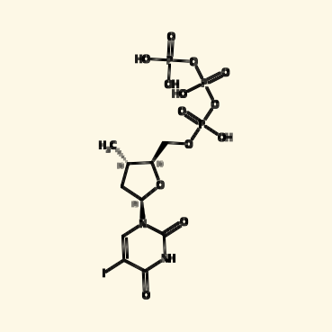 C[C@H]1C[C@H](n2cc(I)c(=O)[nH]c2=O)O[C@@H]1COP(=O)(O)OP(=O)(O)OP(=O)(O)O